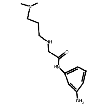 CN(C)CCCNCC(=O)Nc1cccc(N)c1